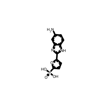 Nc1ccc2[nH]c(-c3ccc(P(=O)(O)O)o3)nc2c1